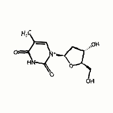 CC1=C[N+]([C@H]2C[C@H](O)[C@@H](CO)O2)C(=O)NC1=O